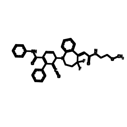 COCCNC(=O)C=C1c2ccccc2N(C2C=CC(C(=O)Nc3ccccc3)=C(c3ccccc3)C2=C=O)CCC1(F)F